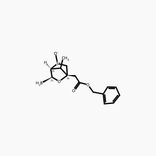 B[C@@H]1O[C@@]2(CC(=O)OCc3ccccc3)C[S+]([O-])[C@H]1C2C